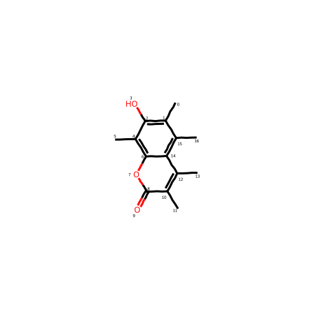 Cc1c(O)c(C)c2oc(=O)c(C)c(C)c2c1C